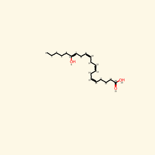 CCCCC/C(O)=C/C/C=C\C/C=C\C/C=C\CCCC(=O)O